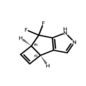 FC1(F)c2[nH]ncc2[C@H]2C=C[C@H]21